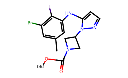 Cc1cc(Br)c(I)c(Nc2ccnn2C2CN(C(=O)OC(C)(C)C)C2)c1